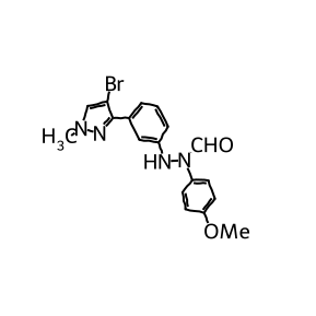 COc1ccc(N(C=O)Nc2cccc(-c3nn(C)cc3Br)c2)cc1